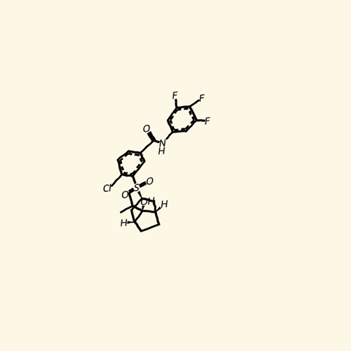 CC(C)[C@@]1(O)[C@@H]2CC[C@H]1C[C@H](S(=O)(=O)c1cc(C(=O)Nc3cc(F)c(F)c(F)c3)ccc1Cl)C2